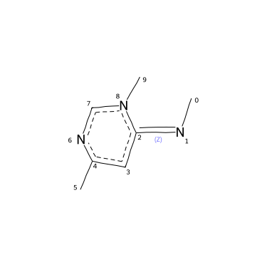 C/N=c1/cc(C)ncn1C